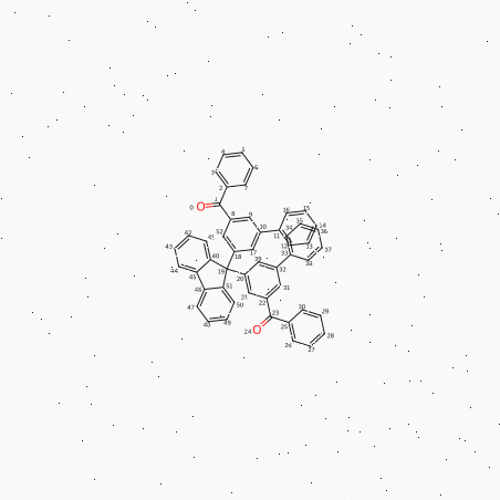 O=C(c1ccccc1)c1cc(-c2ccccc2)cc(C2(c3cc(C(=O)c4ccccc4)cc(-c4ccccc4)c3)c3ccccc3-c3ccccc32)c1